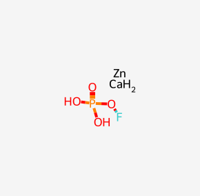 O=P(O)(O)OF.[CaH2].[Zn]